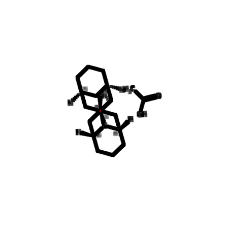 CC(=O)O.N[C@@H]1C[C@H]2CCC[C@@H](C1)N2[C@@H]1C[C@@H]2CCC[C@@H](C2)C1